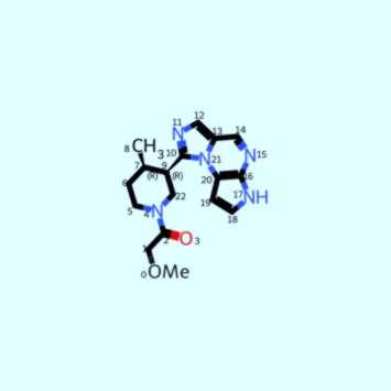 COCC(=O)N1CC[C@@H](C)[C@@H](c2ncc3cnc4[nH]ccc4n23)C1